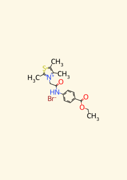 CCOC(=O)c1ccc(NC(=O)C[n+]2c(C)sc(C)c2C)cc1.[Br-]